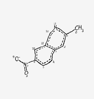 Cc1cc2ccc([N+](=O)[O-])cc2cn1